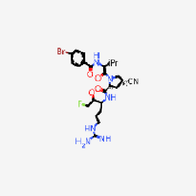 CC(C)C(NC(=O)c1ccc(Br)cc1)C(=O)N1C[C@H](C#N)C[C@H]1C(=O)NC(CCCNC(=N)N)C(=O)CF